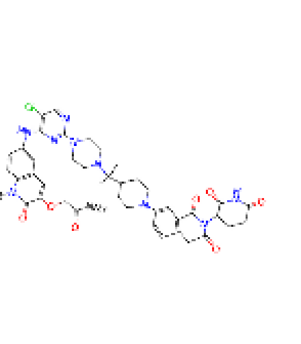 CCn1c(=O)c(OCC(=O)NC)cc2cc(Nc3nc(N4CCN(C(C)(C)C5CCN(c6ccc7c(c6)C(=O)N(C6CCC(=O)NC6=O)C(=O)C7)CC5)CC4)ncc3Cl)ccc21